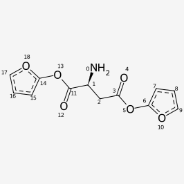 N[C@@H](CC(=O)Oc1ccco1)C(=O)Oc1ccco1